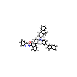 CC1(C)c2ccccc2-c2ccc(N(c3ccc(-c4ccc5ccccc5c4)cc3)c3ccc4c5c(c6ccccc6c4c3)NC(c3ccccc3)O5)cc21